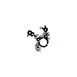 Cc1ccc(S(=O)(=O)NC(=O)[C@@]23C[C@H]2/C=C\CCCCC[C@H](NC(=O)OC(C)(C)C)C(=O)N2C[C@H](OC(=O)N4Cc5cccc(F)c5C4)C[C@H]2C(=O)N3)cc1Cl